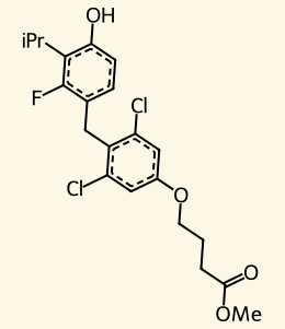 COC(=O)CCCOc1cc(Cl)c(Cc2ccc(O)c(C(C)C)c2F)c(Cl)c1